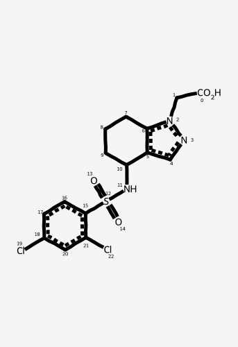 O=C(O)Cn1ncc2c1CCCC2NS(=O)(=O)c1ccc(Cl)cc1Cl